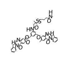 CNC(=O)CCCSSC(C)(C)CC(=O)Nc1cc(COc2cc3c(cc2C)C(=O)N2c4ccccc4C[C@H]2C=N3)cc(COc2cc3c(cc2OC)C(=O)N2c4ccccc4C[C@H]2C=N3)c1